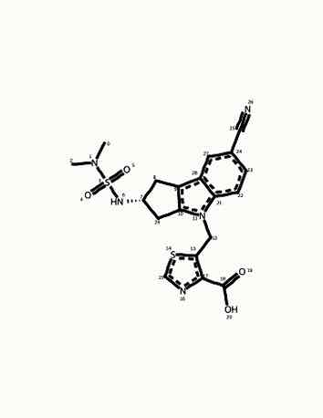 CN(C)S(=O)(=O)N[C@@H]1Cc2c(n(Cc3scnc3C(=O)O)c3ccc(C#N)cc23)C1